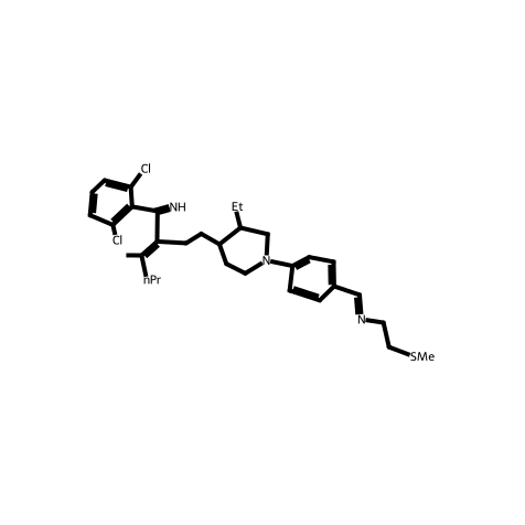 CCC/C(C)=C(\CCC1CCN(c2ccc(/C=N/CCSC)cc2)CC1CC)C(=N)c1c(Cl)cccc1Cl